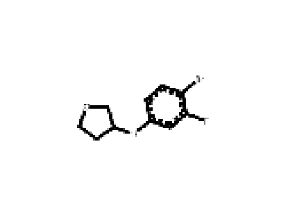 Fc1cc(OC2CCOC2)ccc1Br